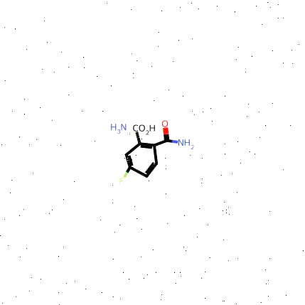 N.NC(=O)c1ccc(F)cc1C(=O)O